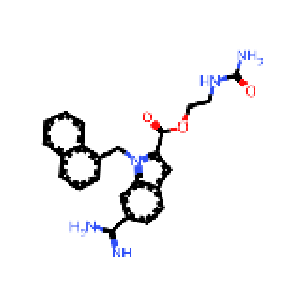 N=C(N)c1ccc2cc(C(=O)OCCNC(N)=O)n(Cc3cccc4ccccc34)c2c1